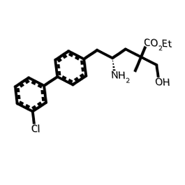 CCOC(=O)C(C)(CO)C[C@H](N)Cc1ccc(-c2cccc(Cl)c2)cc1